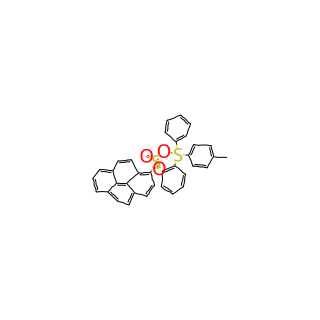 Cc1ccc(S(OS(=O)(=O)c2ccc3ccc4cccc5ccc2c3c45)(c2ccccc2)c2ccccc2)cc1